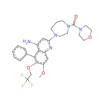 COc1cc2nc(N3CCCN(C(=O)N4CCOCC4)CC3)cc(N)c2c(-c2ccccc2)c1OCC(F)(F)F